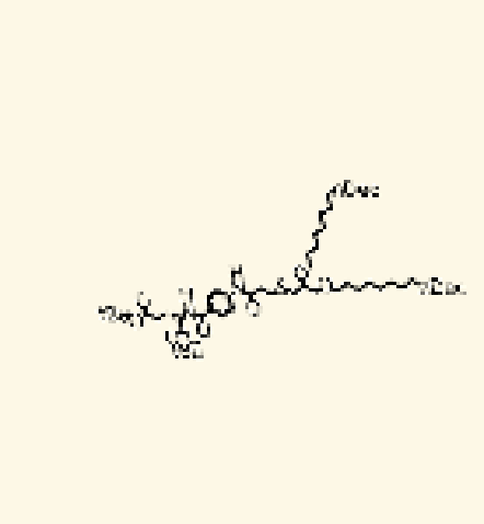 CCCCCCCCCCCCCCCCCCOCC(CSCCC(=O)Nc1ccc(C(=O)N[C@@H](CCC(=O)OC(C)(C)C)C(=O)OC(C)(C)C)cc1)OCCCCCCCCCCCCCCCCCC